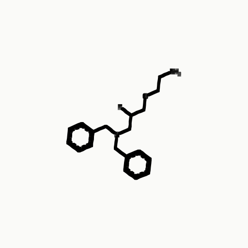 NCCOCC(F)CN(Cc1ccccc1)Cc1ccccc1